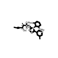 CC#C[C@H](O)[C@@H](C)S(=O)(=O)Nc1nnc(-c2cncc(C)c2)n1-c1c(OC)cccc1OC